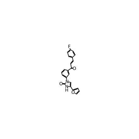 O=C(/C=C/c1ccc(F)cc1)c1cccc(-n2cc(-c3ccco3)[nH]c2=O)c1